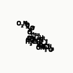 C[C@]12C=CC(=O)C=C1CC[C@@H]1[C@@H]2[C@@H](O)C[C@@]2(C)[C@H]1CC[C@]2(O)C(=O)COC(=O)CO[N+](=O)[O-]